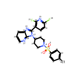 CCc1ccc(S(=O)(=O)N2CCC(n3c(-c4ccc(F)nc4F)nc4cccnc43)CC2)cc1